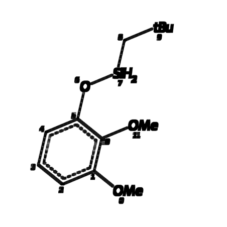 COc1cccc(O[SiH2]CC(C)(C)C)c1OC